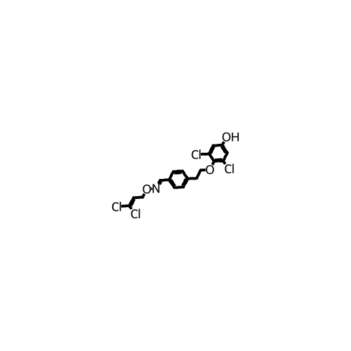 Oc1cc(Cl)c(OCCc2ccc(/C=N/OCC=C(Cl)Cl)cc2)c(Cl)c1